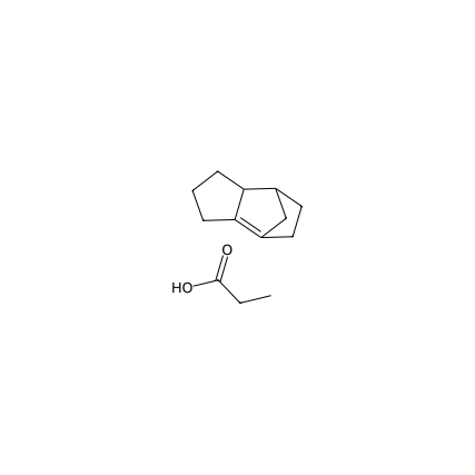 C1CC2=C3CCC(C3)C2C1.CCC(=O)O